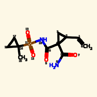 C=CC1CC1(C(N)=O)C(=O)NS(=O)(=O)C1(C)CC1